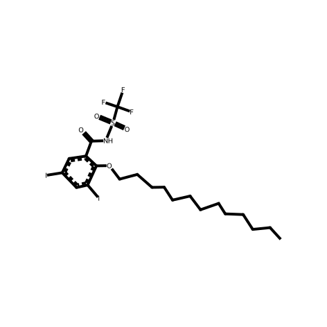 CCCCCCCCCCCCCOc1c(I)cc(I)cc1C(=O)NS(=O)(=O)C(F)(F)F